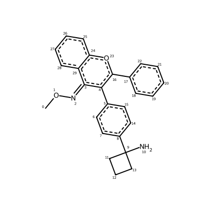 CON=c1c(-c2ccc(C3(N)CCC3)cc2)c(-c2ccccc2)oc2ccccc12